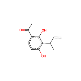 C=CC(C)c1c(O)ccc(C(C)=O)c1O